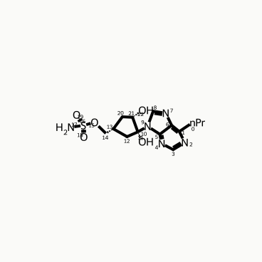 CCCc1ncnc2c1ncn2[C@@]1(O)C[C@H](COS(N)(=O)=O)C[C@@H]1O